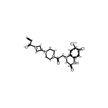 C=CC(=O)N1CC(N2CCN(C(=O)CN3CC(=O)Nc4cc(Cl)c(Cl)cc43)CC2)C1